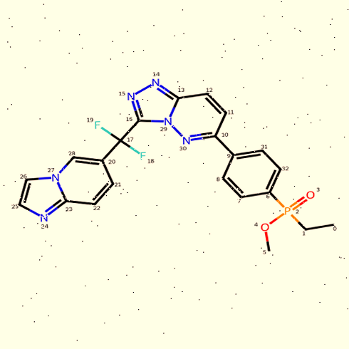 CCP(=O)(OC)c1ccc(-c2ccc3nnc(C(F)(F)c4ccc5nccn5c4)n3n2)cc1